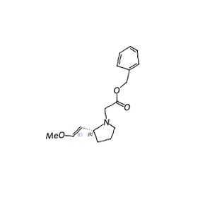 CO/C=C/[C@H]1CCCN1CC(=O)OCc1ccccc1